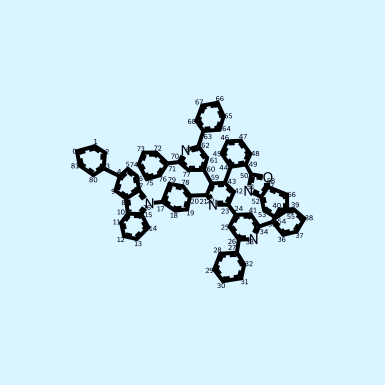 c1ccc(-c2ccc3c(c2)c2ccccc2n3-c2ccc(-c3nc(-c4cc(-c5ccccc5)nc(-c5ccccc5)c4)cc(-c4ccccc4-c4nc5ccccc5o4)c3-c3cc(-c4ccccc4)nc(-c4ccccc4)c3)cc2)cc1